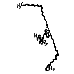 CCCCCCCC/C=C\CCCCCCCCOCC(COCCCCCCCC/C=C\CCCCCCCC)OC(=O)CCN(C)C